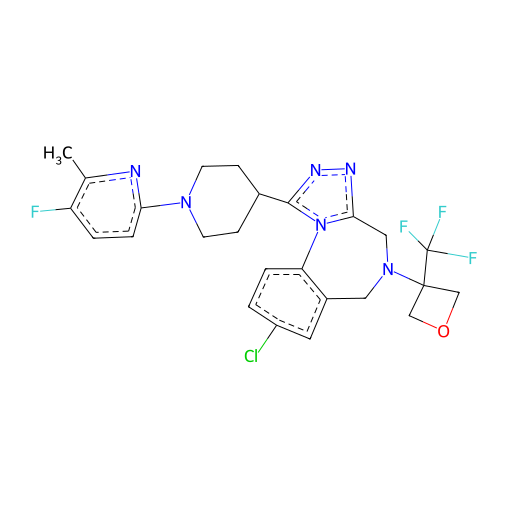 Cc1nc(N2CCC(c3nnc4n3-c3ccc(Cl)cc3CN(C3(C(F)(F)F)COC3)C4)CC2)ccc1F